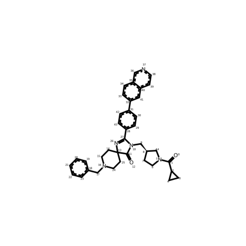 O=C(C1CC1)N1CC[C@@H](CN2C(=O)C3(CCN(Cc4ccccc4)CC3)N=C2c2ccc(-c3ccc4cnccc4c3)cc2)C1